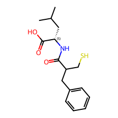 CC(C)C[C@H](NC(=O)C(CS)Cc1ccccc1)C(=O)O